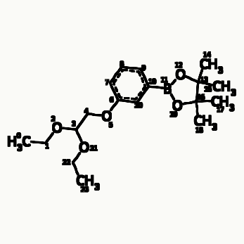 CCOC(COc1cccc(B2OC(C)(C)C(C)(C)O2)c1)OCC